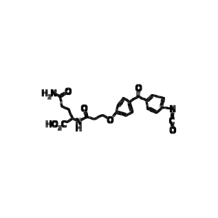 NC(=O)CCC(NC(=O)CCOc1ccc(C(=O)c2ccc(N=C=O)cc2)cc1)C(=O)O